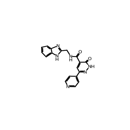 O=C(NCc1nc2ccccc2[nH]1)c1cc(-c2ccncc2)n[nH]c1=O